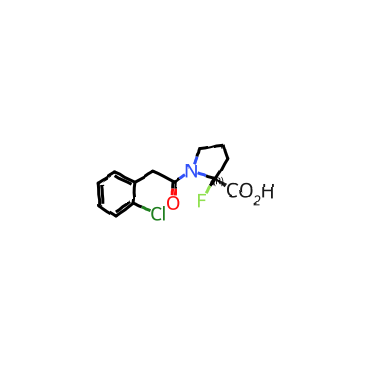 O=C(Cc1ccccc1Cl)N1CCC[C@@]1(F)C(=O)O